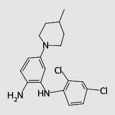 CC1CCN(c2ccc(N)c(Nc3ccc(Cl)cc3Cl)c2)CC1